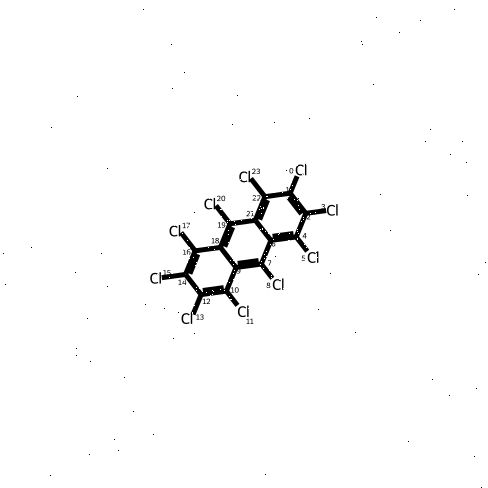 Clc1c(Cl)c(Cl)c2c(Cl)c3c(Cl)c(Cl)c(Cl)c(Cl)c3c(Cl)c2c1Cl